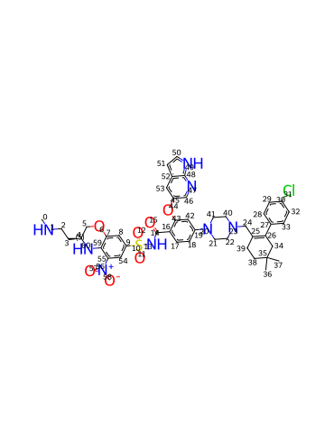 CNCC[C@H]1COc2cc(S(=O)(=O)NC(=O)c3ccc(N4CCN(CC5=C(c6ccc(Cl)cc6)CC(C)(C)CC5)CC4)cc3Oc3cnc4[nH]ccc4c3)cc([N+](=O)[O-])c2N1